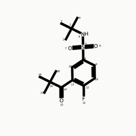 CC(C)(C)NS(=O)(=O)c1ccc(F)c(C(=O)C(C)(C)C)c1